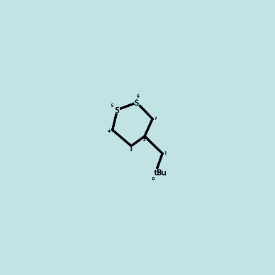 CC(C)(C)CC1CCSSC1